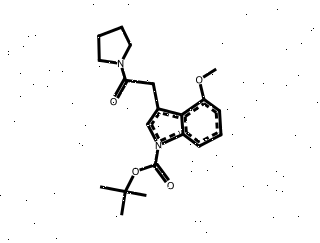 COc1cccc2c1c(CC(=O)N1CCCC1)cn2C(=O)OC(C)(C)C